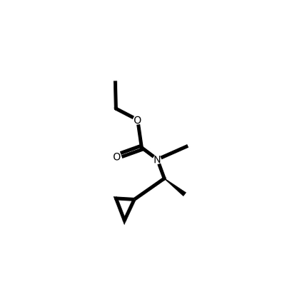 CCOC(=O)N(C)[C@@H](C)C1CC1